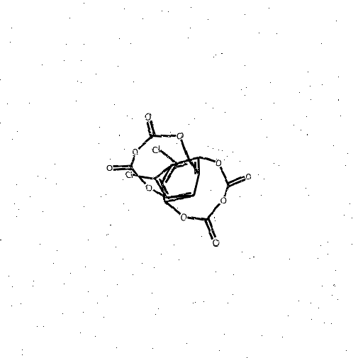 O=c1oc(=O)oc2c(Cl)cc(o1)c1c3oc(=O)oc(=O)oc(cc3Cl)c21